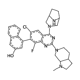 CN1CCC2CCN(c3nc(N4CC5CCC(C4)N5)c4cc(Cl)c(-c5cc(O)cc6ccccc56)c(F)c4n3)CC21